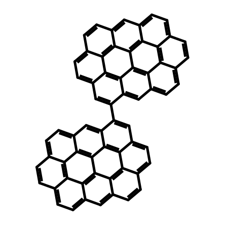 c1cc2ccc3cc4c(-c5cc6ccc7ccc8cc9ccc%10ccc%11ccc%12cc5c5c6c7c8c6c9c%10c%11c%12c56)cc5ccc6ccc7cc8ccc1c1c2c3c2c4c5c6c7c2c81